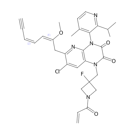 C#C/C=C\C=C(/Cc1nc2c(cc1Cl)n(CC1(F)CN(C(=O)C=C)C1)c(=O)c(=O)n2-c1c(C)ccnc1C(C)C)OC